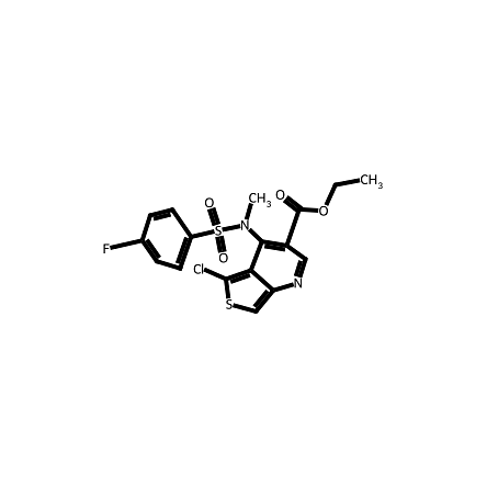 CCOC(=O)c1cnc2csc(Cl)c2c1N(C)S(=O)(=O)c1ccc(F)cc1